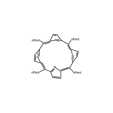 CCCCCC1=C2C=CC(=N2)C(CCCCC)=C2C=CC(=N2)C(CCCCC)=C2C=CC(=N2)C(CCCCC)=C2C=CC1=N2